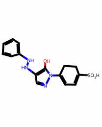 O=S(=O)(O)C1=CC=C(n2ncc(NNc3ccccc3)c2O)CC1